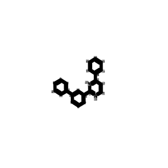 c1ccc(-c2cccc(-c3nccc(-c4ccccc4)n3)c2)cc1